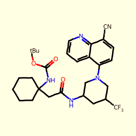 CC(C)(C)OC(=O)NC1(CC(=O)NC2CC(C(F)(F)F)CN(c3ccc(C#N)c4ncccc34)C2)CCCCC1